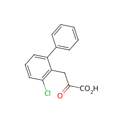 O=C(O)C(=O)Cc1c(Cl)cccc1-c1ccccc1